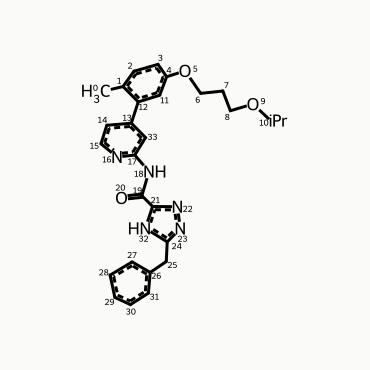 Cc1ccc(OCCCOC(C)C)cc1-c1ccnc(NC(=O)c2nnc(Cc3ccccc3)[nH]2)c1